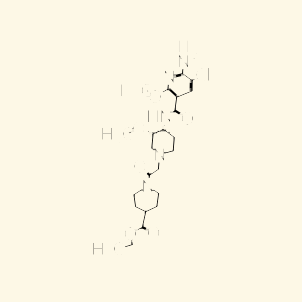 CCOC(=O)C1CCN(C(=O)CN2CC[C@@H](NC(=O)c3cc(Cl)c(N)nc3OC)[C@@H](OC)C2)CC1